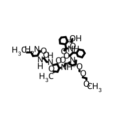 CCCCC(NC(=O)CNC(=O)C(=O)C(CCC)NC(=O)[C@@H]1C[C@@H](OCOCCOC)CN1C(=O)C(NC(=O)C1CCCC[C@@H]1C(=O)O)C1CCCCC1)C(N)=O